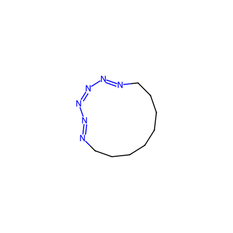 C1CCCC/N=N/N=N\N=N\CCC1